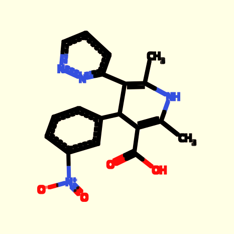 CC1=C(C(=O)O)C(c2cccc([N+](=O)[O-])c2)C(c2cccnn2)=C(C)N1